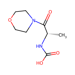 C[C@H](NC(=O)O)C(=O)N1CCOCC1